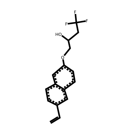 C=Cc1ccc2cc(OCC(O)CC(F)(F)F)ccc2c1